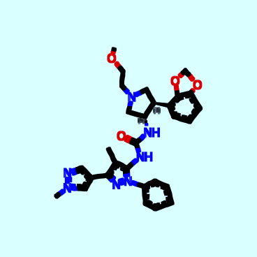 COCCN1C[C@@H](NC(=O)Nc2c(C)c(-c3cnn(C)c3)nn2-c2ccccc2)[C@H](c2cccc3c2OCO3)C1